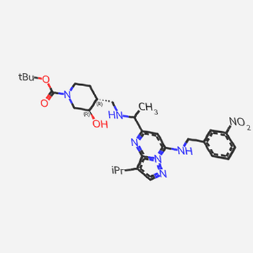 CC(C)c1cnn2c(NCc3cccc([N+](=O)[O-])c3)cc(C(C)NC[C@H]3CCN(C(=O)OC(C)(C)C)C[C@@H]3O)nc12